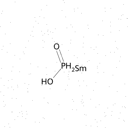 O=[PH2]O.[Sm]